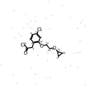 O=C(Cl)Cc1ccc(Cl)cc1OCCOC1CC1